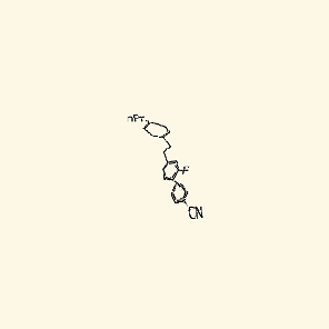 CCCC1CCC(CCc2ccc(-c3ccc(C#N)cc3)c(F)c2)CC1